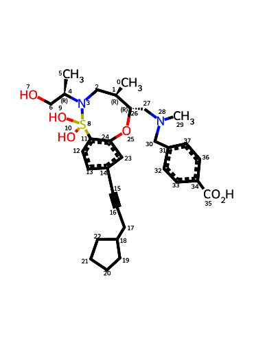 C[C@@H]1CN([C@H](C)CO)S(O)(O)c2ccc(C#CCC3CCCC3)cc2O[C@H]1CN(C)Cc1ccc(C(=O)O)cc1